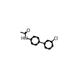 CC(=O)Nc1ccc(-c2[c]ccc(Cl)c2)cc1